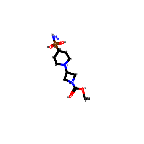 CC(C)(C)OC(=O)N1CC(N2CCC(S(N)(=O)=O)CC2)C1